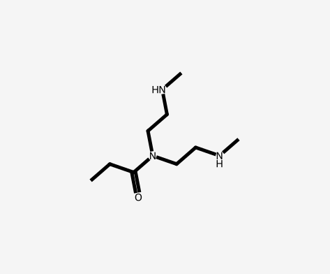 CCC(=O)N(CCNC)CCNC